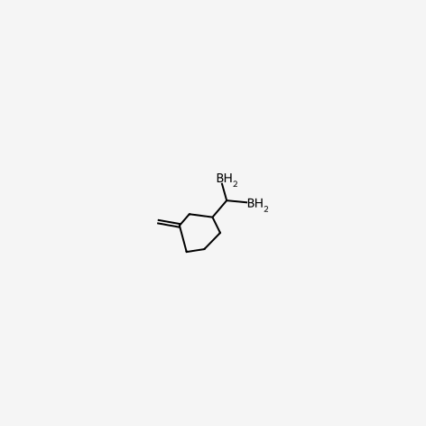 BC(B)C1CCCC(=C)C1